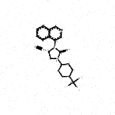 N#C[C@H]1CN(C2CCC(C(F)(F)F)CC2)C(=O)N1c1cncc2ccccc12